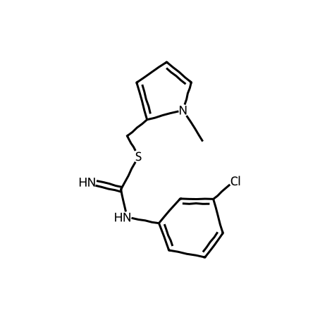 Cn1cccc1CSC(=N)Nc1cccc(Cl)c1